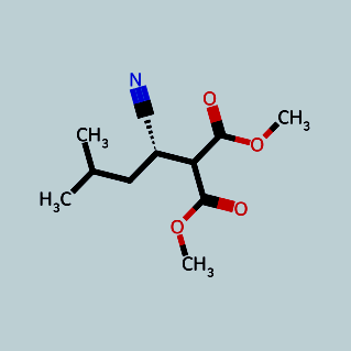 COC(=O)C(C(=O)OC)[C@@H](C#N)CC(C)C